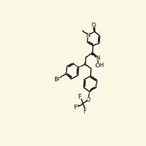 Cn1cc(/C(CC(Cc2ccc(OC(F)(F)F)cc2)c2ccc(Br)cc2)=N/O)ccc1=O